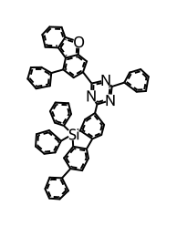 c1ccc(-c2ccc3c(c2)[Si](c2ccccc2)(c2ccccc2)c2cc(-c4nc(-c5ccccc5)nc(-c5cc(-c6ccccc6)c6c(c5)oc5ccccc56)n4)ccc2-3)cc1